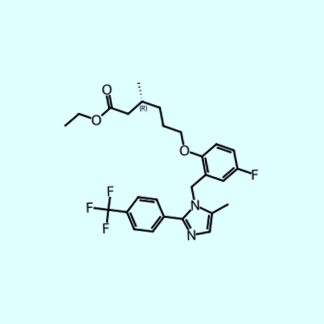 CCOC(=O)C[C@H](C)CCCOc1ccc(F)cc1Cn1c(C)cnc1-c1ccc(C(F)(F)F)cc1